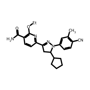 CCOc1nc(C2=NN(c3ccc(C#N)c(C)c3)C(C3CCCC3)C2)ccc1C(N)=O